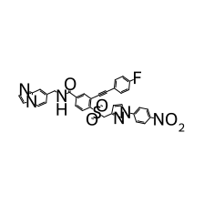 O=C(NCc1ccn2ccnc2c1)c1ccc(S(=O)(=O)Cc2ccn(-c3ccc([N+](=O)[O-])cc3)n2)c(C#Cc2ccc(F)cc2)c1